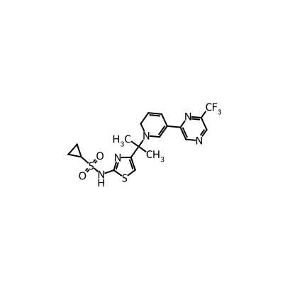 CC(C)(c1csc(NS(=O)(=O)C2CC2)n1)N1C=C(c2cncc(C(F)(F)F)n2)C=CC1